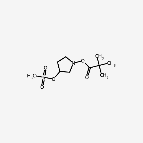 CC(C)(C)C(=O)ON1CCC(OS(C)(=O)=O)C1